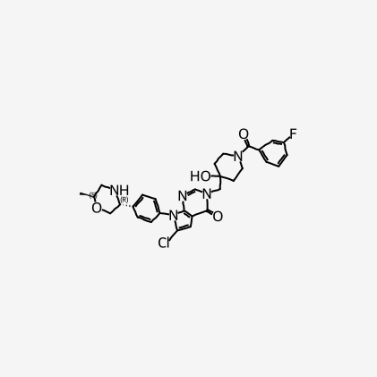 C[C@H]1CN[C@H](c2ccc(-n3c(Cl)cc4c(=O)n(CC5(O)CCN(C(=O)c6cccc(F)c6)CC5)cnc43)cc2)CO1